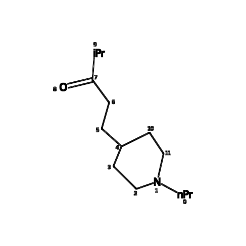 CCCN1CCC(CCC(=O)C(C)C)CC1